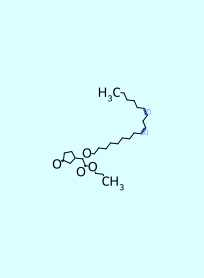 CCCCC/C=C\C/C=C\CCCCCCCCOC(C(=O)OCCC)C1CCC(=O)C1